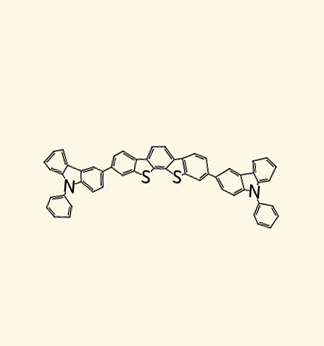 c1ccc(-n2c3ccccc3c3cc(-c4ccc5c(c4)sc4c5ccc5c6ccc(-c7ccc8c(c7)c7ccccc7n8-c7ccccc7)cc6sc54)ccc32)cc1